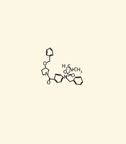 CN(C)S(=O)(=O)N(Cc1ccccc1)c1ccc(C(=O)N2CCC(OCc3ccccc3)C2)cc1